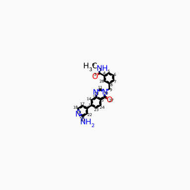 CNC(=O)c1cccc(Cn2cnc3cc(-c4ccnc(N)c4)ccc3c2=O)c1